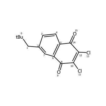 CC(C)(C)Cc1ccc2c(c1)C(=O)C(Cl)=C(Cl)C2=O